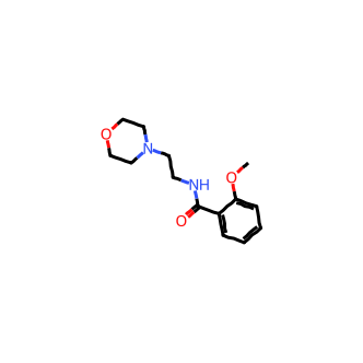 COc1ccccc1C(=O)NCCN1CCOCC1